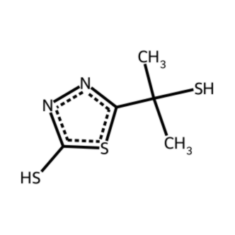 CC(C)(S)c1nnc(S)s1